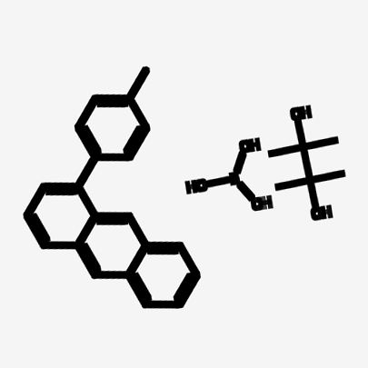 CC(C)(O)C(C)(C)O.Cc1ccc(-c2cccc3cc4ccccc4cc23)cc1.OB(O)O